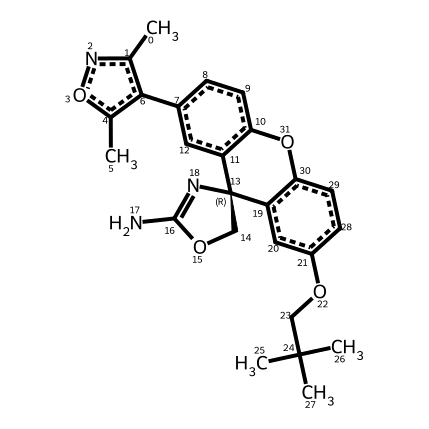 Cc1noc(C)c1-c1ccc2c(c1)[C@]1(COC(N)=N1)c1cc(OCC(C)(C)C)ccc1O2